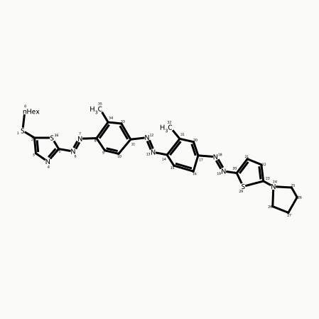 CCCCCCSc1cnc(/N=N/c2ccc(/N=N/c3ccc(/N=N/c4ccc(N5CCCC5)s4)cc3C)cc2C)s1